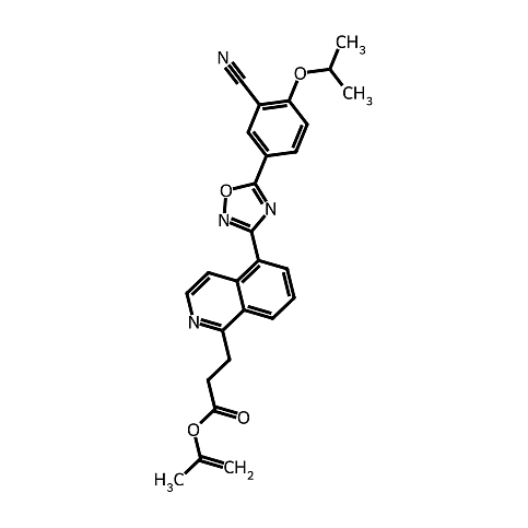 C=C(C)OC(=O)CCc1nccc2c(-c3noc(-c4ccc(OC(C)C)c(C#N)c4)n3)cccc12